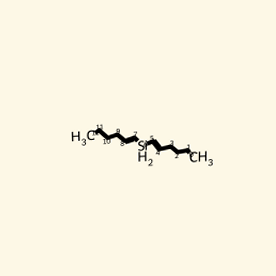 CCCC/C=C/[SiH2]/C=C/CCCC